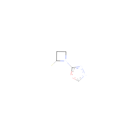 SC1CCN1c1nnco1